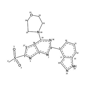 CS(=O)(=O)c1nc2nc(-c3cccc4[nH]ncc34)nc(N3CCOCC3)c2s1